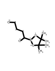 CC1(C)OB(C(Cl)CCCCl)OC1(C)C